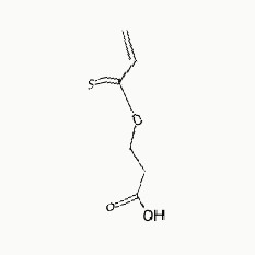 C=CC(=S)OCCC(=O)O